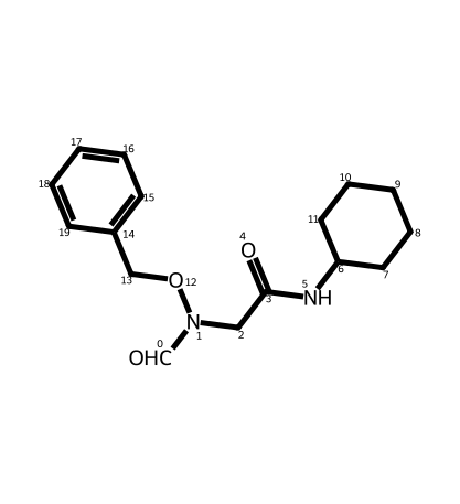 O=CN(CC(=O)NC1CCCCC1)OCc1ccccc1